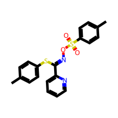 Cc1ccc(S/C(=N\OS(=O)(=O)c2ccc(C)cc2)c2ccccn2)cc1